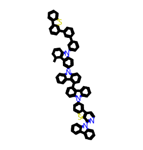 CC1CC=Cc2c1c1cc(-n3c4ccccc4c4c(-c5cccc6c5c5ccccc5n6-c5ccc6sc7c(-n8c9ccccc9c9ccccc98)nccc7c6c5)cccc43)ccc1n2-c1cccc(-c2cccc(-c3cccc4c3sc3ccccc34)c2)c1